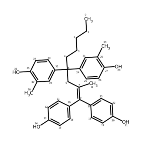 CCCCCC(CC(C)=C(c1ccc(O)cc1)c1ccc(O)cc1)(c1ccc(O)c(C)c1)c1ccc(O)c(C)c1